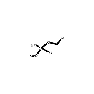 CCC[Si](CC)(OC)OCBr